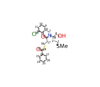 CSCC[C@@H](CO)N(Cc1cccc(Cl)c1)C(=O)CCSC(=O)c1ccccc1